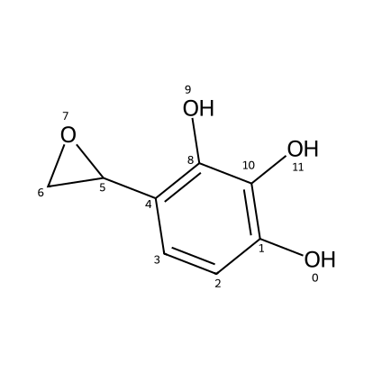 Oc1ccc(C2CO2)c(O)c1O